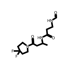 CC(CC(=O)N1CCC(F)(F)CC1)NC(=O)CCNC=O